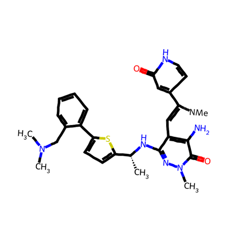 CN/C(=C\c1c(N[C@H](C)c2ccc(-c3ccccc3CN(C)C)s2)nn(C)c(=O)c1N)c1cc[nH]c(=O)c1